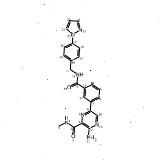 CNC(=O)c1nc(-c2cccc(C(=O)NCc3ccc(-n4cccn4)cc3)c2)cnc1N